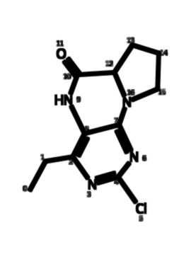 CCc1nc(Cl)nc2c1NC(=O)C1CCCN21